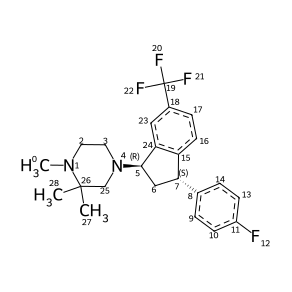 CN1CCN([C@@H]2C[C@@H](c3ccc(F)cc3)c3ccc(C(F)(F)F)cc32)CC1(C)C